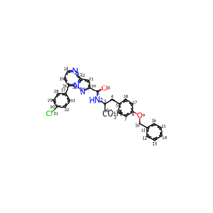 O=C(NC(Cc1ccc(OCc2ccccc2)cc1)C(=O)O)c1cc2nccc(-c3ccc(Cl)cc3)n2n1